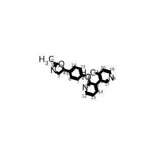 CC1=NCC(c2ccc(Oc3ncccc3-c3cnccc3C)cc2)O1